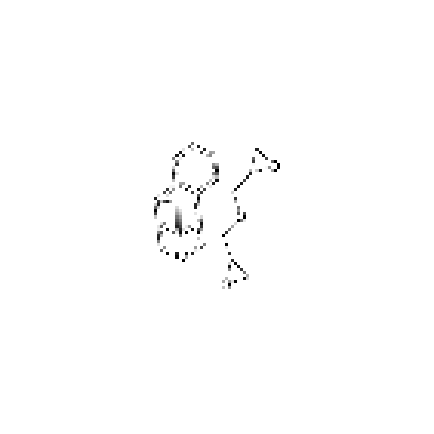 C(OCC1CO1)C1CO1.C1=c2c3cccc2c2ccccc2c31